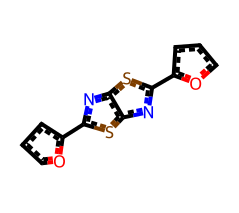 c1coc(-c2nc3sc(-c4ccco4)nc3s2)c1